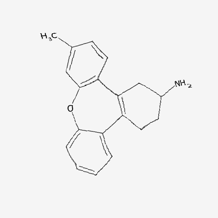 Cc1ccc2c(c1)Oc1ccccc1C1=C2CC(N)CC1